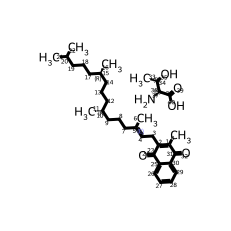 CC1=C(C/C=C(\C)CCC[C@H](C)CCC[C@H](C)CCCC(C)C)C(=O)c2ccccc2C1=O.C[C@@H](O)[C@H](N)C(=O)O